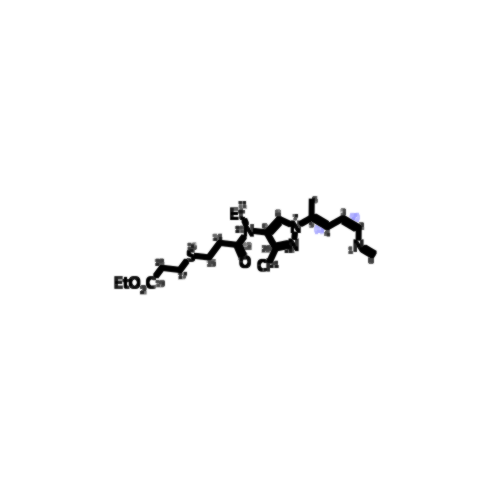 C=N/C=C\C=C(/C)n1cc(N(CC)C(=O)CCSCCC(=O)OCC)c(Cl)n1